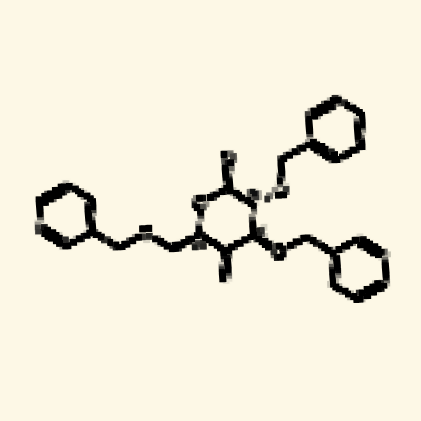 C=C1[C@@H](COCc2ccccc2)OC(=O)[C@H](OCc2ccccc2)[C@H]1OCc1ccccc1